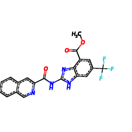 COC(=O)c1cc(C(F)(F)F)cc2[nH]c(NC(=O)c3cc4ccccc4cn3)nc12